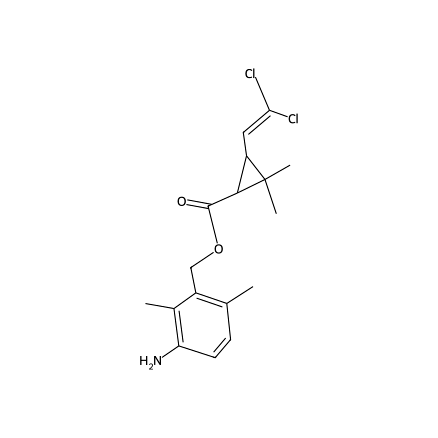 Cc1ccc(N)c(C)c1COC(=O)C1C(C=C(Cl)Cl)C1(C)C